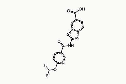 O=C(O)c1ccc2nc(NC(=O)c3ccc(OC(F)F)nc3)sc2c1